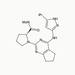 CNC(=O)[C@@H]1CCCN1c1nc2c(c(Nc3cc(C(C)C)[nH]n3)n1)CCC2